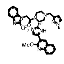 COc1nc2ccccc2cc1-c1cnc([C@@H]2CN(Cc3ccn(C)n3)CCN2C(=O)Cn2c(C(F)(F)F)nc3ccccc32)[nH]1